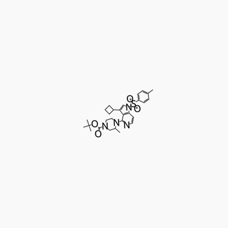 Cc1ccc(S(=O)(=O)n2cc(C3CCC3)c3c(N4CCN(C(=O)OC(C)(C)C)CC4C)nccc32)cc1